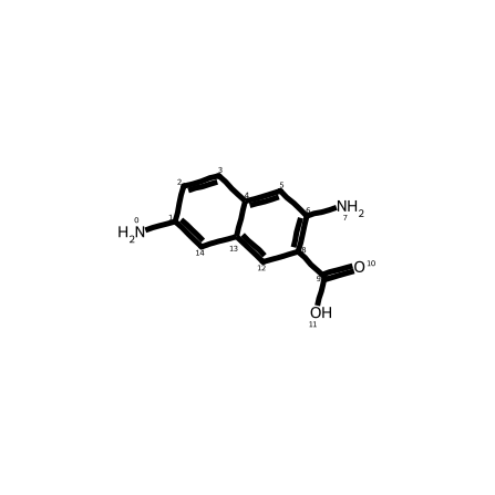 Nc1ccc2cc(N)c(C(=O)O)cc2c1